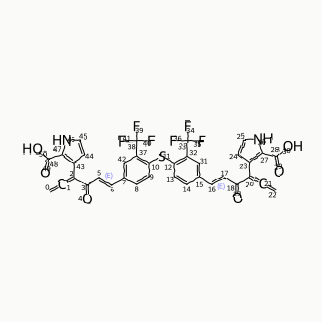 C=C=C(C(=O)/C=C/c1ccc(Sc2ccc(/C=C/C(=O)C(=C=C)c3cc[nH]c3C(=O)O)cc2C(F)(F)F)c(C(F)(F)F)c1)c1cc[nH]c1C(=O)O